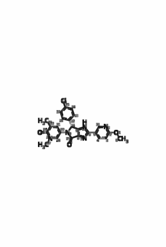 COc1ccc(-c2nc3c([nH]2)[C@@H](c2ccc(Cl)cc2)N(c2cc(C)c(=O)n(C)c2)C3=O)cn1